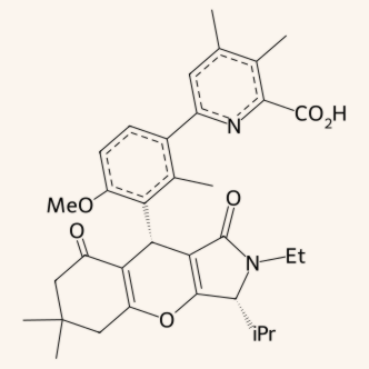 CCN1C(=O)C2=C(OC3=C(C(=O)CC(C)(C)C3)[C@@H]2c2c(OC)ccc(-c3cc(C)c(C)c(C(=O)O)n3)c2C)[C@H]1C(C)C